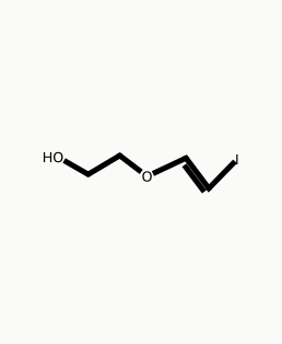 OCCOC=CI